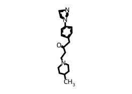 CC1CCN(CCC(=O)Cc2ccc(-n3ccnc3)cc2)CC1